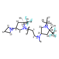 CN(CCC(C)(C)N1CC(N2CCC2)C[C@@]1(C)C(F)(F)F)[C@H]1CN(C(C)(C)C)[C@](C)(C(F)(F)F)C1